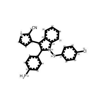 N#Cc1sccc1-c1c(-c2ccc(P)cc2)n(Sc2ccc(Cl)cc2)c2ccccc12